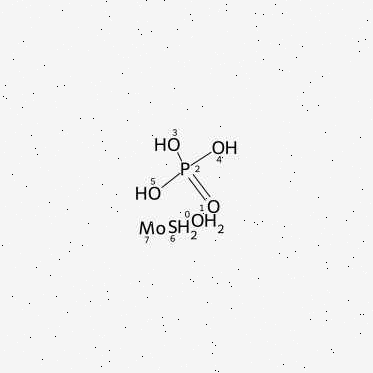 O.O=P(O)(O)O.S.[Mo]